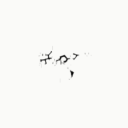 [2H]CC([2H])C(NC(=O)c1ccc(N2CC(OC)C2)c(OC[C@H]2C[C@@H]2CO)n1)(C(=O)O)C([2H])(C[2H])C(F)CC